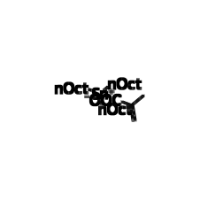 C=C(C)C(=O)[O-].CCCCCCC[CH2][Sn+]([CH2]CCCCCCC)[CH2]CCCCCCC